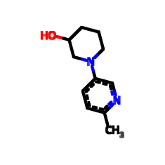 Cc1ccc(N2CCCC(O)C2)cn1